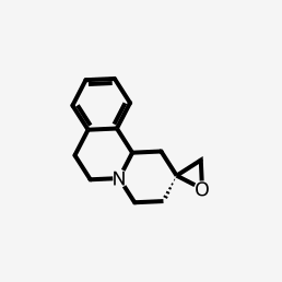 c1ccc2c(c1)CCN1CC[C@@]3(CO3)CC21